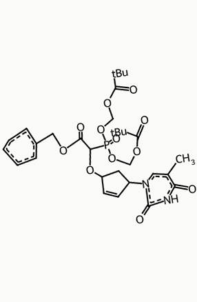 Cc1cn(C2C=CC(OC(C(=O)OCc3ccccc3)P(=O)(OCOC(=O)C(C)(C)C)OCOC(=O)C(C)(C)C)C2)c(=O)[nH]c1=O